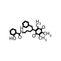 CC1=C(C)C(=O)C(C(CCCNC(=O)c2ccccc2O)Cc2ccccc2)=C(C)C1=O